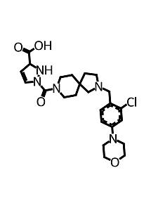 O=C(O)C1C=CN(C(=O)N2CCC3(CCN(Cc4ccc(N5CCOCC5)cc4Cl)C3)CC2)N1